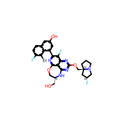 CCc1c(F)ccc2cc(O)cc(-c3nc4c5c(nc(OC[C@@]67CCCN6C[C@H](F)C7)nc5c3F)N[C@H](CO)CO4)c12